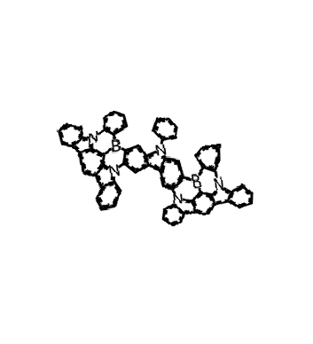 c1ccc(-n2c3cc4c(cc3c3cc5c(cc32)B2c3ccccc3-n3c6ccccc6c6cc7c8ccccc8n-5c7c2c63)-n2c3ccccc3c3cc5c6ccccc6n6c5c(c32)B4c2ccccc2-6)cc1